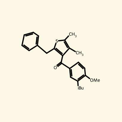 CCC(C)c1cc(C(=O)c2c(Cc3ccccc3)sc(C)c2C)ccc1OC